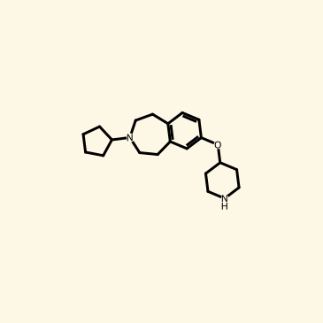 c1cc2c(cc1OC1CCNCC1)CCN(C1CCCC1)CC2